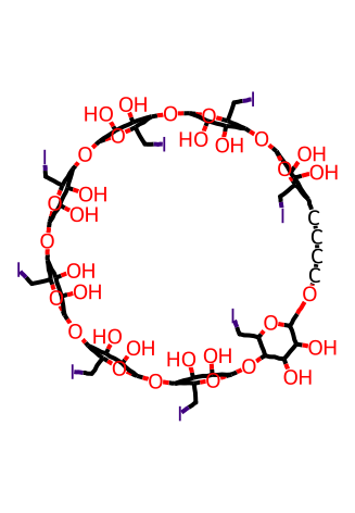 OC1C2OC(CI)C(CCCCOC3OC(CI)C(OC4OC(CI)C(OC5OC(CI)C(OC6OC(CI)C(OC7OC(CI)C(OC8OC(CI)C(OC9OC(CI)C(O2)C(O)C9O)C(O)C8O)C(O)C7O)C(O)C6O)C(O)C5O)C(O)C4O)C(O)C3O)C1O